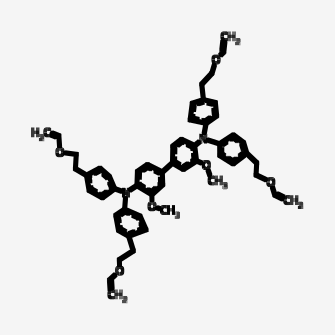 C=COCCc1ccc(N(c2ccc(CCOC=C)cc2)c2ccc(-c3ccc(N(c4ccc(CCOC=C)cc4)c4ccc(CCOC=C)cc4)c(OC)c3)cc2OC)cc1